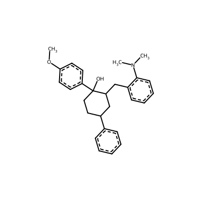 COc1ccc(C2(O)CCC(c3ccccc3)CC2Cc2ccccc2N(C)C)cc1